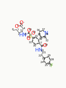 CCCC(CC([O])=O)NC(=O)S(=O)(=O)c1ccc(C(=O)NCCc2ccc(F)cc2)cc1.Cc1ccccn1